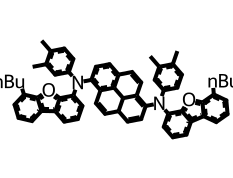 CCCCc1cccc2c1oc1c(N(C3=C4C=Cc5ccc(N(c6ccc(C)c(C)c6)c6cccc7c6oc6c(CCCC)cccc67)c6c5C4C(C=C3)C=C6)c3ccc(C)c(C)c3)cccc12